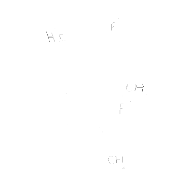 C=C(F)/C=C\C(C)=C(/C)F